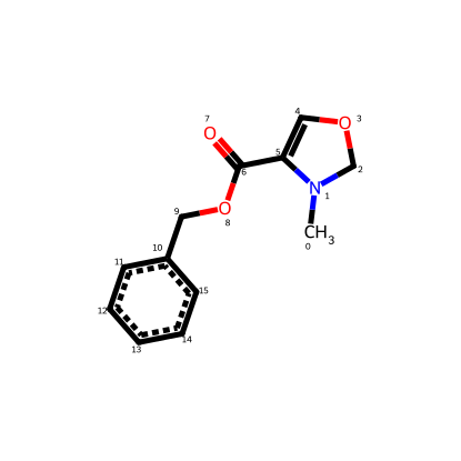 CN1COC=C1C(=O)OCc1ccccc1